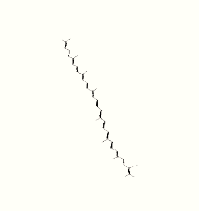 CC(C)=CCC/C(C)=C/C=C/C(C)=C/C=C/C(C)=C/C=C/C=C(C)/C=C/C=C(C)/C=C/C=C(\C)CCC(O)=C(C)C